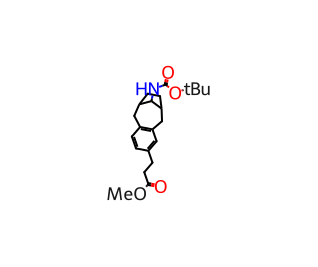 COC(=O)CCc1ccc2c(c1)CC1CCC(C2)C1NC(=O)OC(C)(C)C